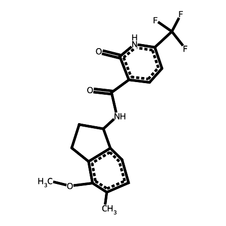 COc1c(C)ccc2c1CCC2NC(=O)c1ccc(C(F)(F)F)[nH]c1=O